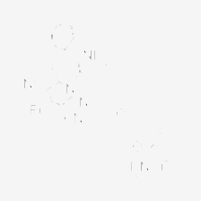 CCc1c(C#N)c(SC(C(N)=O)c2ccccc2)nc(N2CCC(OCCOC(=O)[C@@H](N)C(C)C)CC2)c1C#N